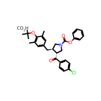 Cc1cc(C[C@H]2CN(C(=O)Oc3ccccc3)C[C@@H]2C(=O)c2ccc(Cl)cc2)cc(C)c1OC(C)(C)C(=O)O